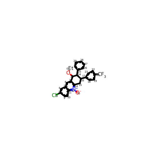 CCOC1c2cc3cc(Cl)ccc3[n+]([O-])c2CC(c2ccc(C(F)(F)F)cc2)C1c1ccccc1